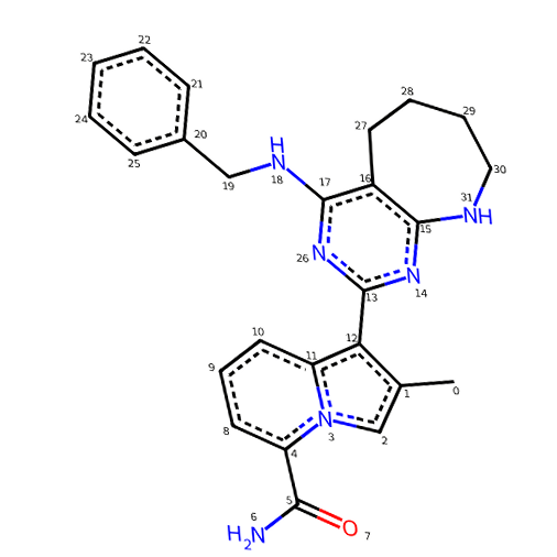 Cc1cn2c(C(N)=O)cccc2c1-c1nc2c(c(NCc3ccccc3)n1)CCCCN2